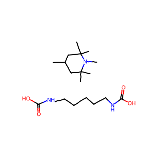 CC1CC(C)(C)N(C)C(C)(C)C1.O=C(O)NCCCCCCNC(=O)O